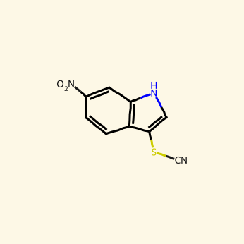 N#CSc1c[nH]c2cc([N+](=O)[O-])ccc12